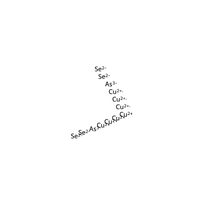 [As-3].[As-3].[Cu+2].[Cu+2].[Cu+2].[Cu+2].[Cu+2].[Cu+2].[Cu+2].[Se-2].[Se-2].[Se-2].[Se-2]